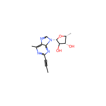 CC#Cc1nc(C)c2ncn([C@@H]3O[C@H](C)[C@H](O)C3O)c2n1